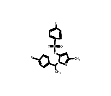 Cc1cc(OS(=O)(=O)c2ccc(F)cc2)n(C(C)c2ccc(F)cc2)n1